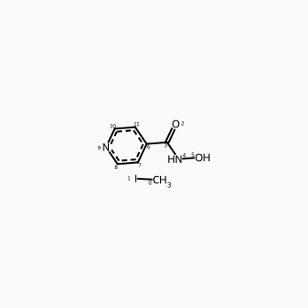 CI.O=C(NO)c1ccncc1